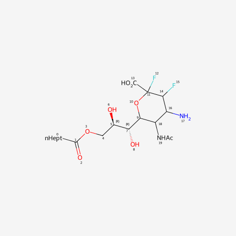 CCCCCCCC(=O)OC[C@@H](O)[C@@H](O)C1OC(F)(C(=O)O)C(F)C(N)C1NC(C)=O